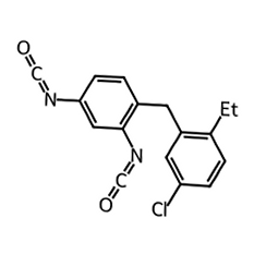 CCc1ccc(Cl)cc1Cc1ccc(N=C=O)cc1N=C=O